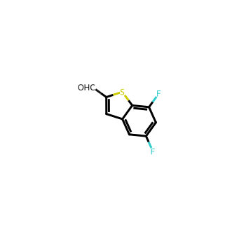 O=Cc1cc2cc(F)cc(F)c2s1